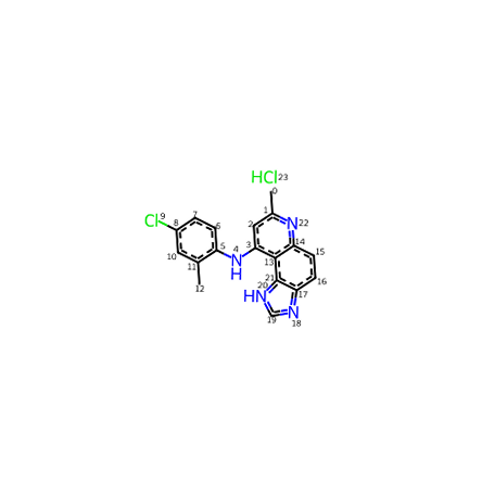 Cc1cc(Nc2ccc(Cl)cc2C)c2c(ccc3nc[nH]c32)n1.Cl